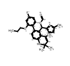 CCCOc1cc(F)ccc1-c1ccc2c(c1C(OC=O)c1ccc(C)s1)C(C)=CC(C)(C)N2